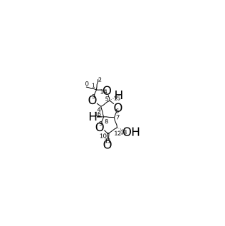 CC1(C)OC2[C@H](OC3[C@@H]2OC(=O)[C@H]3O)O1